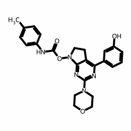 Cc1ccc(NC(=O)ON2CCc3c(-c4cccc(O)c4)nc(N4CCOCC4)nc32)cc1